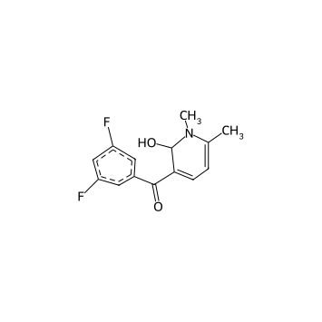 CC1=CC=C(C(=O)c2cc(F)cc(F)c2)C(O)N1C